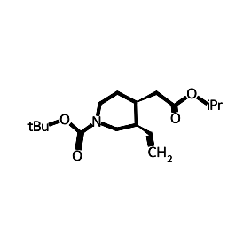 C=C[C@H]1CN(C(=O)OC(C)(C)C)CC[C@H]1CC(=O)OC(C)C